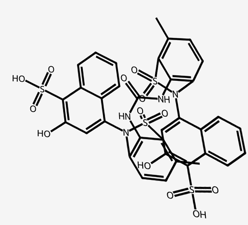 Cc1ccc2c(NC(=O)Nc3c4ccc(C)c3S(=O)(=O)N4c3cc(O)c(S(=O)(=O)O)c4ccccc34)c1S(=O)(=O)N2c1cc(O)c(S(=O)(=O)O)c2ccccc12